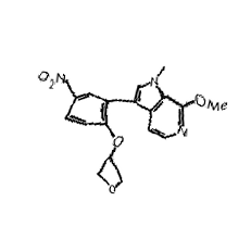 COc1nccc2c(-c3cc([N+](=O)[O-])ccc3OC3COC3)cn(C)c12